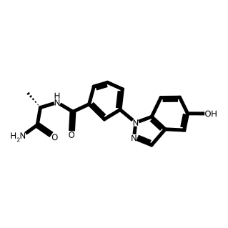 C[C@H](NC(=O)c1cccc(-n2ncc3cc(O)ccc32)c1)C(N)=O